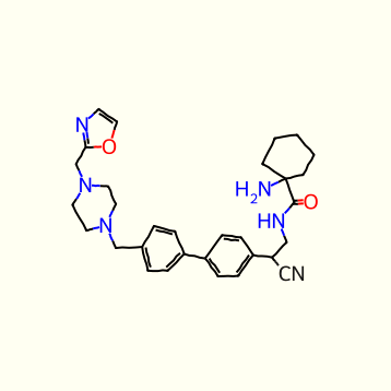 N#CC(CNC(=O)C1(N)CCCCC1)c1ccc(-c2ccc(CN3CCN(Cc4ncco4)CC3)cc2)cc1